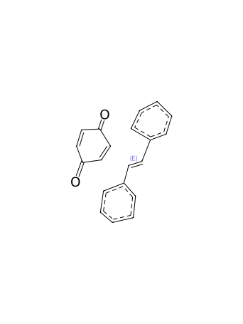 C(=C\c1ccccc1)/c1ccccc1.O=C1C=CC(=O)C=C1